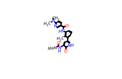 CNC(=O)Nc1cc(-c2cccc(NC(=O)c3ccc(N(C)C)nc3)c2C)c[nH]c1=O